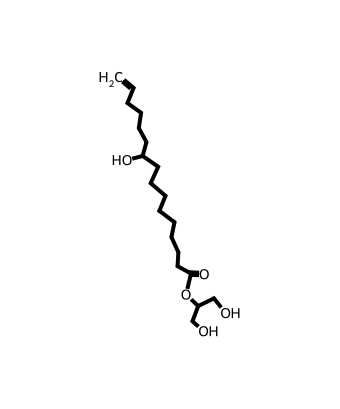 C=CCCCCC(O)CCCCCCCCC(=O)OC(CO)CO